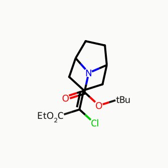 CCOC(=O)C(Cl)=C1CC2CCC(C1)N2C(=O)OC(C)(C)C